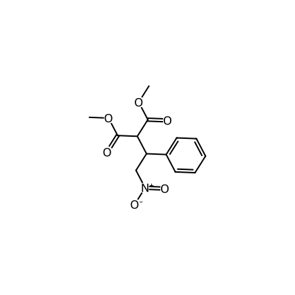 COC(=O)C(C(=O)OC)C(C[N+](=O)[O-])c1ccccc1